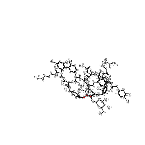 CN[C@H](CC(C)C)C(=O)N[C@H]1C(=O)N[C@@H](CC(N)=O)C(=O)NC2C(=O)N[C@H]3C(=O)N[C@H](C(=O)N[C@@H](C(=O)NOCCOC)c4cc(O)cc(O)c4-c4cc3ccc4O)[C@H](O)c3ccc(c(Cl)c3)Oc3cc2cc(c3O[C@@H]2O[C@H](CO)[C@@H](O)[C@H](O)[C@H]2O[C@H]2C[C@](C)(NCCn3ccc(NC(=O)Cc4ccc(Cl)c(Cl)c4)nc3=O)[C@H](O)[C@H](C)O2)Oc2ccc(cc2Cl)[C@H]1O